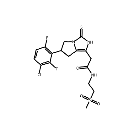 CS(=O)(=O)CCNC(=O)Cc1[nH]c(=S)n2c1CC(c1c(F)ccc(Cl)c1F)C2